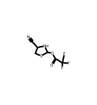 N#CC1CSC(OC(=O)C(F)(F)F)N1